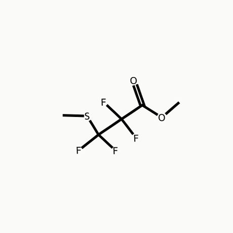 COC(=O)C(F)(F)C(F)(F)SC